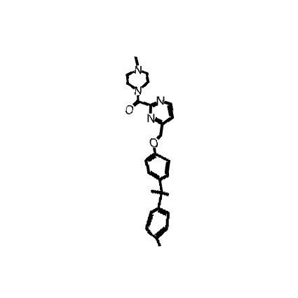 Cc1ccc(C(C)(C)c2ccc(OCc3ccnc(C(=O)N4CCN(C)CC4)n3)cc2)cc1